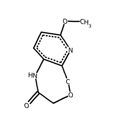 COc1ccc2c(n1)COCC(=O)N2